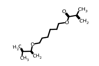 C=C(C)C(=C)OCCCCCCOC(=O)C(=C)C